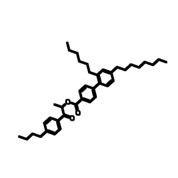 CCCCCCCCc1ccc(-c2ccc(C(=O)OC(C)C(=O)c3ccc(CCCC)cc3)cc2)c(CCCCCC)c1